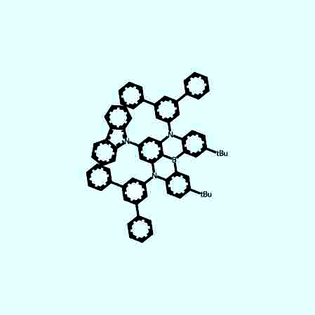 CC(C)(C)c1ccc2c(c1)B1c3cc(C(C)(C)C)ccc3N(c3cc(-c4ccccc4)cc(-c4ccccc4)c3)c3cc(-n4c5ccccc5c5ccccc54)cc(c31)N2c1cc(-c2ccccc2)cc(-c2ccccc2)c1